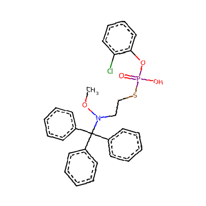 CON(CCSP(=O)(O)Oc1ccccc1Cl)C(c1ccccc1)(c1ccccc1)c1ccccc1